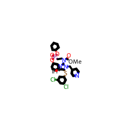 COC(=O)N(CCP(=O)(Oc1ccccc1)Oc1ccccc1)c1nc(C(C)C)c(Sc2cc(Cl)cc(Cl)c2)n1Cc1ccncc1